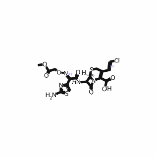 COC(=O)CO/N=C(/C(=O)NC1C(=O)N2C(C(=O)O)=C(/C=C/Cl)CS[C@H]12)c1csc(N)n1